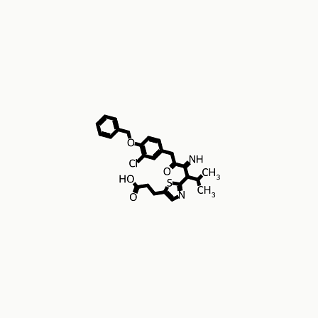 CC(C)C(C(=N)C(=O)Cc1ccc(OCc2ccccc2)c(Cl)c1)c1ncc(CCC(=O)O)s1